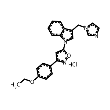 CCOc1ccc(-c2cc(-n3cc(Cn4ccnc4)c4ccccc43)on2)cc1.Cl